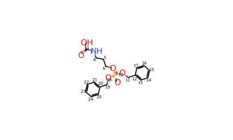 O=C(O)NCCCOP(=O)(OCc1ccccc1)OCc1ccccc1